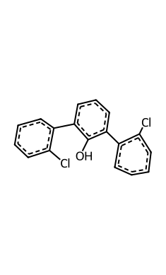 Oc1c(-c2ccccc2Cl)cccc1-c1ccccc1Cl